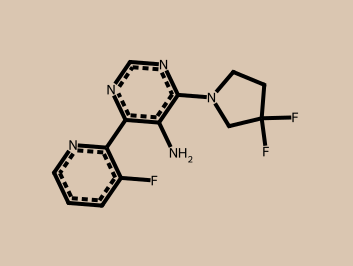 Nc1c(-c2ncccc2F)ncnc1N1CCC(F)(F)C1